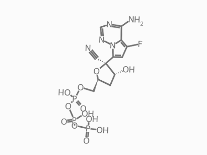 N#C[C@@]1(c2cc(F)c3c(N)ncnn23)O[C@H](COP(=O)(O)OP(=O)(O)OP(=O)(O)O)C[C@H]1O